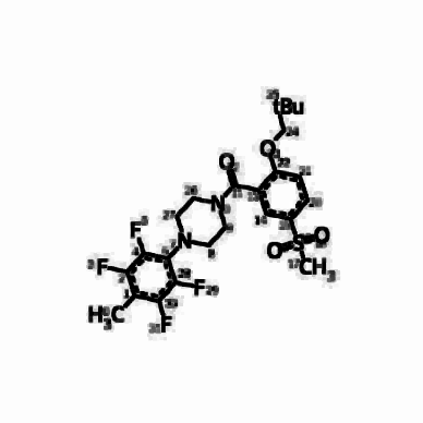 Cc1c(F)c(F)c(N2CCN(C(=O)c3cc(S(C)(=O)=O)ccc3OCC(C)(C)C)CC2)c(F)c1F